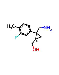 Cc1ccc(C2(CN)C[C@H]2CO)cc1F